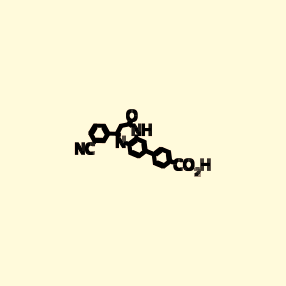 N#Cc1cccc(C2=Nc3ccc(-c4ccc(C(=O)O)cc4)cc3NC(=O)C2)c1